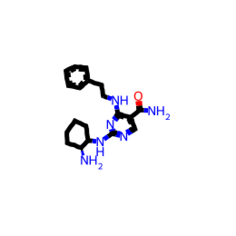 NC(=O)c1cnc(NC2CCCC[C@@H]2N)nc1NCCc1ccccc1